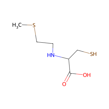 CSCCNC(CS)C(=O)O